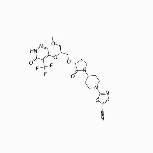 COC[C@@H](CO[C@@H]1CCN(C2CCN(c3ncc(C#N)s3)CC2)C1=O)Oc1cn[nH]c(=O)c1C(F)(F)F